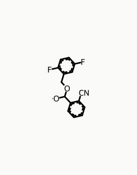 N#Cc1ccccc1C([O])OCc1cc(F)ccc1F